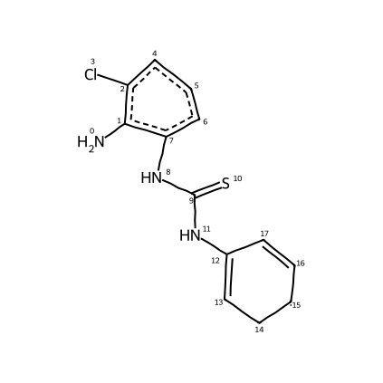 Nc1c(Cl)cccc1NC(=S)NC1=CC[CH]C=C1